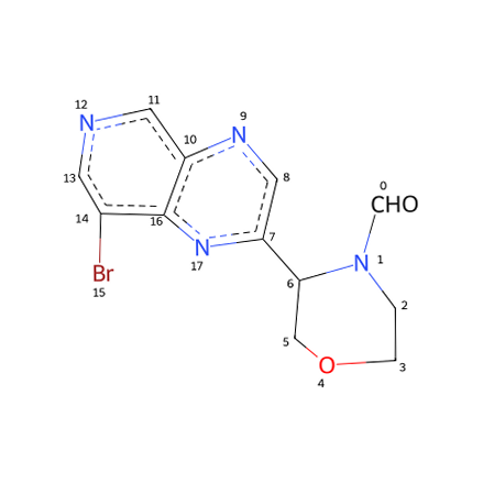 O=CN1CCOCC1c1cnc2cncc(Br)c2n1